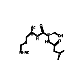 CC(=O)NCSC[C@H](NC(=O)[C@H](CO)NC(=O)CN(C)C)C(C)=O